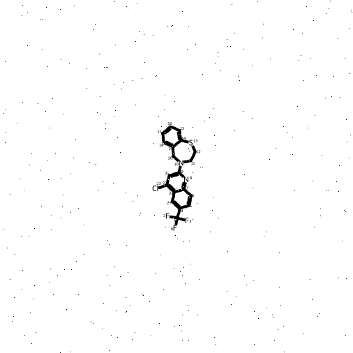 FC(F)(F)c1ccc2nc(N3CCSc4ccccc4C3)cc(Cl)c2c1